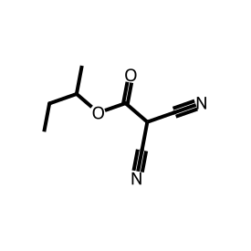 CCC(C)OC(=O)C(C#N)C#N